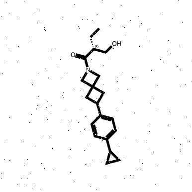 CC[C@H](CO)C(=O)N1CC2(CC(c3ccc(C4CC4)cc3)C2)C1